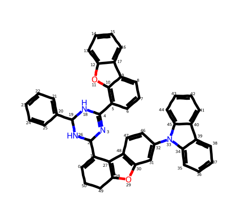 C1=C(C2N=C(c3cccc4c3oc3ccccc34)NC(c3ccccc3)N2)c2c(oc3cc(-n4c5ccccc5c5ccccc54)ccc23)CC1